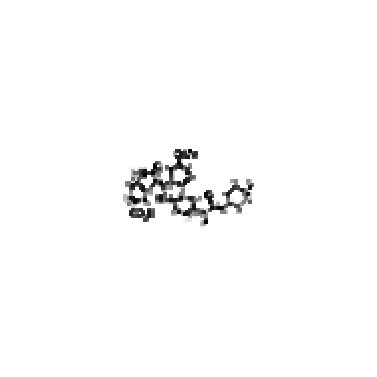 COc1cccc(C(Nc2ccc(N(C)C(=O)CN3CCN(C)CC3)cc2)=C2C(=O)Nc3ccc(C(=O)O)cc32)c1